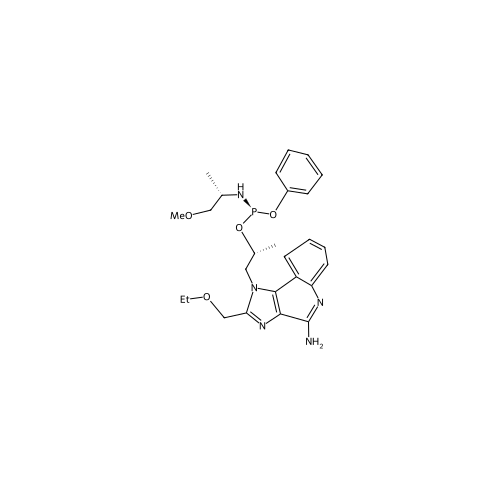 CCOCc1nc2c(N)nc3ccccc3c2n1C[C@@H](C)O[P@@](N[C@@H](C)COC)Oc1ccccc1